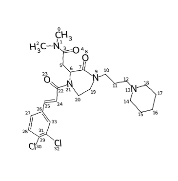 CN(C)C(=O)CC1C(=O)N(CCCN2CCCCC2)CCN1C(=O)C=Cc1ccc(Cl)c(Cl)c1